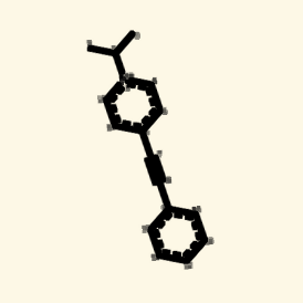 CC(C)[n+]1ccc(C#Cc2ccccc2)cc1